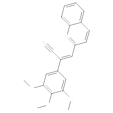 COc1cc(C(C#N)=Cc2ccc3ccccc3n2)cc(OC)c1OC